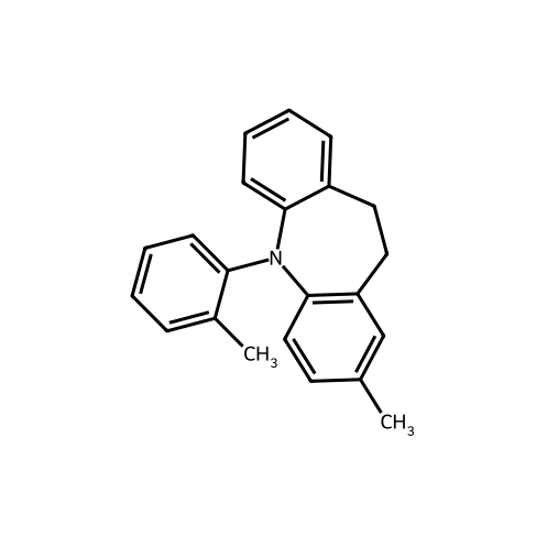 Cc1ccc2c(c1)CCc1ccccc1N2c1ccccc1C